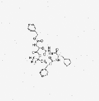 CC(C)(C)OC(=O)C(NC(=O)OCc1ccccc1)OC(=O)NNC(=O)[C@H](CC1CCCC1)NC(=O)OCc1ccccc1